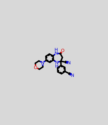 N#Cc1cccc(C2(C#N)CC(=O)Nc3ccc(N4CCOCC4)cc3N2)c1